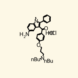 CCCCN(CCCC)CCCOc1ccc(C(=O)c2c(-c3ccccc3)n(C)c3ccc(N)cc23)cc1.Cl.Cl